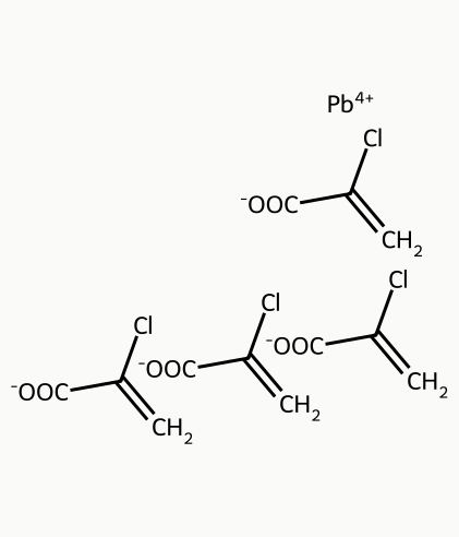 C=C(Cl)C(=O)[O-].C=C(Cl)C(=O)[O-].C=C(Cl)C(=O)[O-].C=C(Cl)C(=O)[O-].[Pb+4]